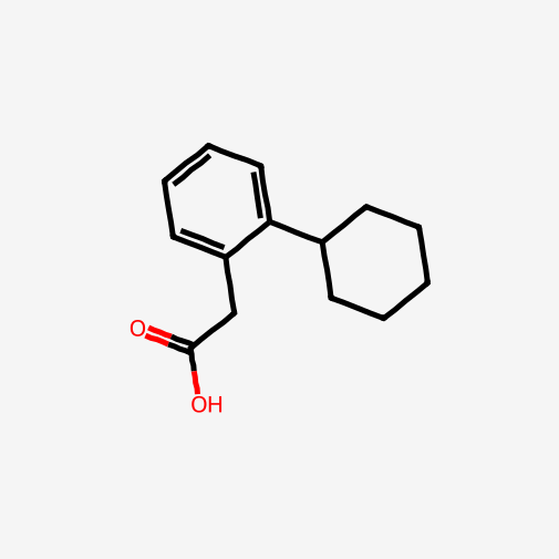 O=C(O)Cc1ccccc1C1CCCCC1